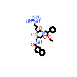 CCOC(=O)C(CN1CC[C@@H](CNC(=O)c2ccc3ccccc3c2)N[C@@H](CCCNC(=N)N)C1=O)c1ccccc1